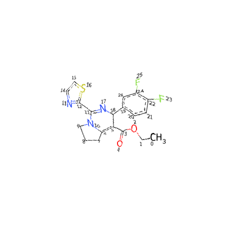 CCOC(=O)C1=C2CCCN2C(c2nccs2)=NC1c1ccc(F)c(F)c1